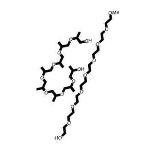 CC(O)COC(C)COC(C)COC(C)COC(C)COC(C)COC(C)COC(C)CO.COCCOCCOCCOCCOCCOCCOCCOCCO